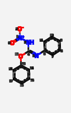 O=[N+]([O-])N/C(=N\c1ccccc1)Oc1ccccc1